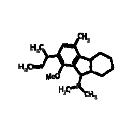 C=CC(C)c1cc(C)c2c(c1OC)C(N(C)C)C1CCCCC21